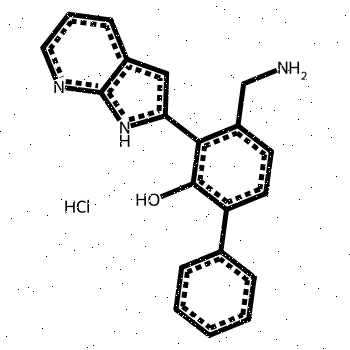 Cl.NCc1ccc(-c2ccccc2)c(O)c1-c1cc2cccnc2[nH]1